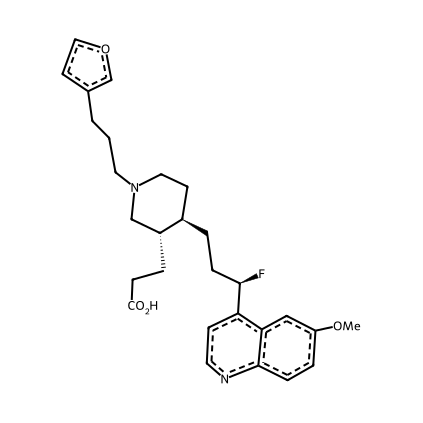 COc1ccc2nccc([C@H](F)CC[C@@H]3CCN(CCCc4ccoc4)C[C@H]3CCC(=O)O)c2c1